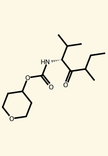 CCC(C)C(=O)[C@H](NC(=O)OC1CCOCC1)C(C)C